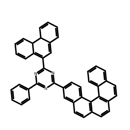 C1=CC2=CC(c3nc(-c4ccccc4)nc(-c4ccc5c(ccc6ccc7ccc8ccccc8c7c65)c4)n3)=C3C=CC=CC3C2C=C1